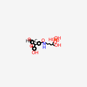 O=C(NCCCCC(CO)COP(=O)(O)O)c1ccc(-c2c3ccc(=O)cc-3oc3cc(O)ccc23)c(C(=O)O)c1